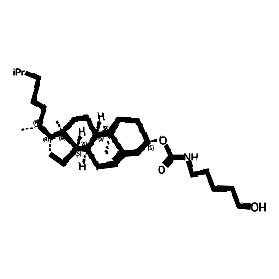 CC(C)CCC[C@@H](C)[C@H]1CC[C@H]2[C@@H]3CC=C4C[C@@H](OC(=O)NCCCCCO)CC[C@]4(C)[C@H]3CC[C@]12C